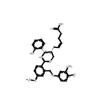 COc1ccc(C2OC[C@@H](C/C=C\CCC(=O)O)[C@@H](c3ccccc3O)O2)c(COc2ccc(Cl)c(C)c2)c1